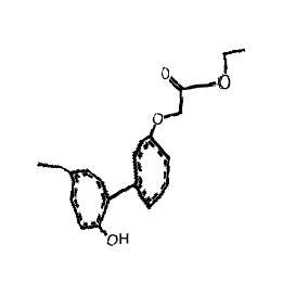 CCOC(=O)COc1cccc(-c2cc(C)ccc2O)c1